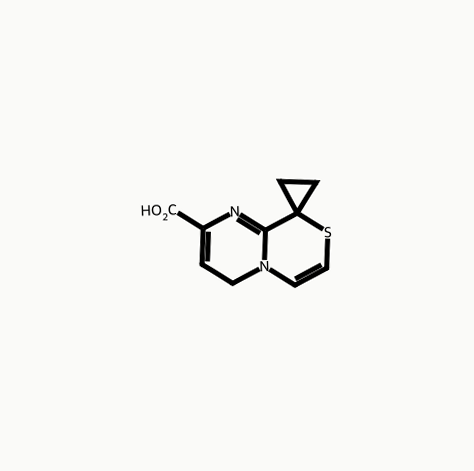 O=C(O)C1=CCN2C=CSC3(CC3)C2=N1